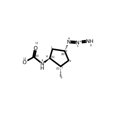 C[C@H]1C[C@@H](N=[N+]=N)C[C@@H]1NC(=O)[O-]